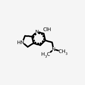 CN(C)Cc1cnc2c(c1)CNC2.Cl